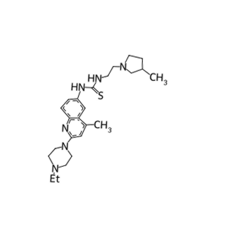 CCN1CCN(c2cc(C)c3cc(NC(=S)NCCN4CCC(C)C4)ccc3n2)CC1